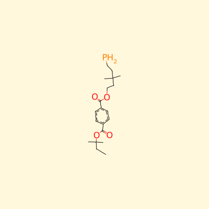 CCC(C)(C)OC(=O)c1ccc(C(=O)OCCC(C)(C)CCP)cc1